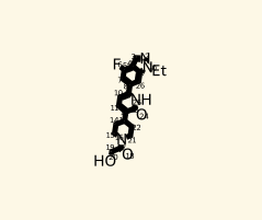 CCn1ncc2c(F)cc(-c3ccc(C4CCN(C(=O)CO)CC4)c(=O)[nH]3)cc21